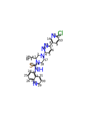 CC(C)C1CN(c2ccc(-c3ccc(Cl)nc3)nn2)CCN1C(=S)Nc1cccc2ncccc12